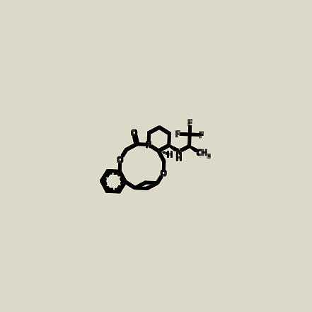 C[C@@H](N[C@@H]1CCCN2C(=O)COc3ccccc3C3CC(C3)OC[C@H]12)C(F)(F)F